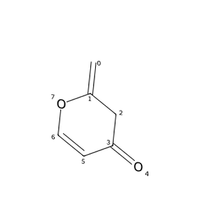 C=C1CC(=O)C=CO1